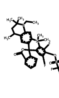 CCN1c2cc3c(cc2C(C)CC1(C)C)C1(OC(=O)c2ccccc21)c1cc(F)c(OS(=O)(=O)C(F)(F)F)c(F)c1[Si]3(C)C